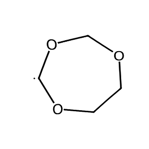 [CH]1OCCOCO1